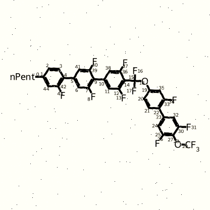 CCCCCc1ccc(-c2cc(F)c(-c3cc(F)c(C(F)(F)Oc4ccc(-c5cc(F)c(OC(F)(F)F)c(F)c5)c(F)c4)c(F)c3)c(F)c2)c(F)c1